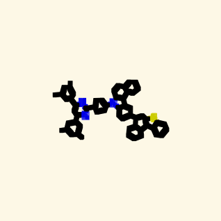 Cc1cc(C)cc(-c2cc(-c3cc(C)cc(C)c3)nc(-c3ccc(-n4c5ccc(-c6cc7sc8ccccc8c7c7ccccc67)cc5c5c6ccccc6ccc54)cc3)n2)c1